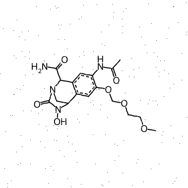 COCCOCOc1cc2c(cc1NC(C)=O)C(C(N)=O)N1CC2N(O)C1=O